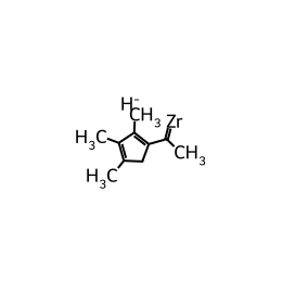 C[C](=[Zr])C1=C(C)C(C)=C(C)C1.[H-]